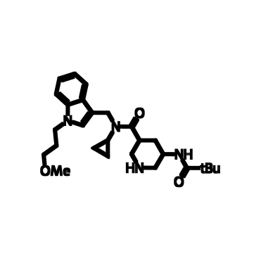 COCCCn1cc(CN(C(=O)C2CNCC(NC(=O)C(C)(C)C)C2)C2CC2)c2ccccc21